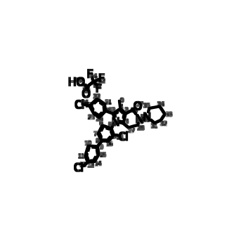 Cc1c2c(n(-c3ccc(-c4ccc(Cl)cc4)cc3Cl)c1-c1ccc(Cl)cc1)CCN(N1CCCCC1)C2=O.O=C(O)C(F)(F)F